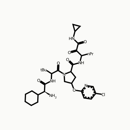 CCCC(NC(=O)C1CC(Oc2ccc(Cl)cn2)CN1C(=O)C(NC(=O)[C@@H](N)C1CCCCC1)C(C)(C)C)C(=O)C(=O)NC1CC1